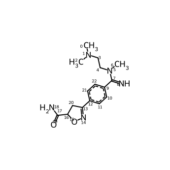 CN(C)CCN(C)C(=N)c1ccc(C2=NOC(C(N)=O)C2)cc1